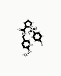 COc1ccc(CNC(=O)C2CCCN2S(=O)(=O)c2ccc(F)cc2)cn1